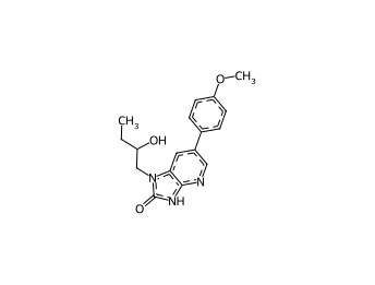 CCC(O)Cn1c(=O)[nH]c2ncc(-c3ccc(OC)cc3)cc21